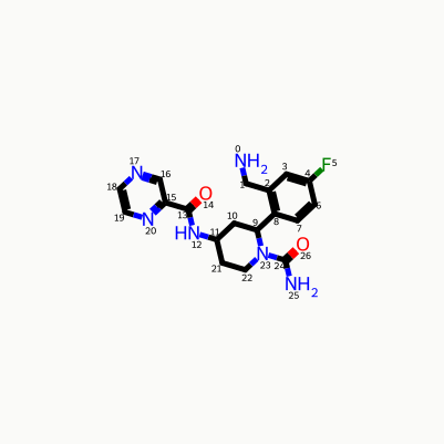 NCc1cc(F)ccc1C1CC(NC(=O)c2cnccn2)CCN1C(N)=O